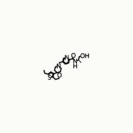 CCc1cc2c(s1)CCOC21CCN(Cc2ccc(C(=O)N[C@H](C)CO)nc2)CC1